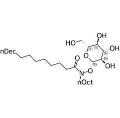 CCCCCCCCCCCCCCCCCC(=O)N(CCCCCCCC)O[C@@H]1O[C@H](CO)[C@@H](O)[C@H](O)[C@H]1O